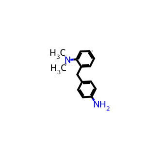 CN(C)c1c[c]ccc1Cc1ccc(N)cc1